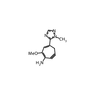 COC1=C(N)C#CCC(c2ncnn2C)=C1